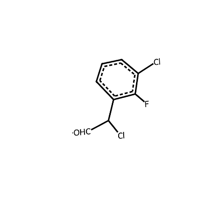 O=[C]C(Cl)c1cccc(Cl)c1F